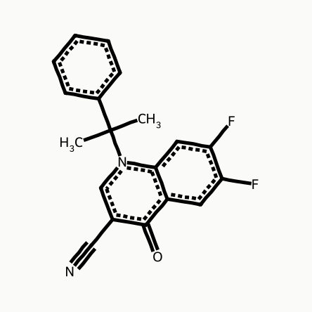 CC(C)(c1ccccc1)n1cc(C#N)c(=O)c2cc(F)c(F)cc21